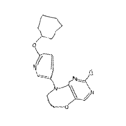 Clc1ncc2c(n1)N(c1ccc(OC3CCCCC3)nc1)CCO2